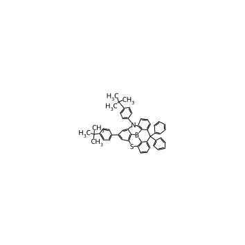 CC(C)(C)c1ccc(-c2cc3c4c(c2)N(c2ccc(C(C)(C)C)cc2)c2cccc5c2B4c2c(cccc2C5(c2ccccc2)c2ccccc2)S3)cc1